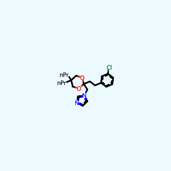 CCCC1(CCC)COC(CCc2cccc(Cl)c2)(Cn2ccnc2)OC1